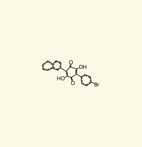 O=C1C(O)=C(c2ccc3ccccc3c2)C(=O)C(O)=C1c1ccc(Br)cc1